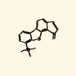 C[Si](C)(C)c1cccc2c1sc1c2ccc2cc[nH]c21